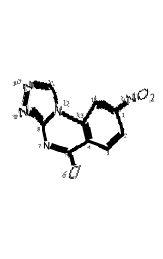 O=[N+]([O-])c1ccc2c(Cl)nc3nncn3c2c1